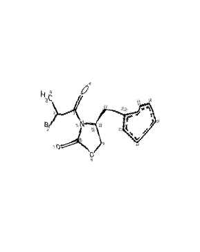 CC(Br)C(=O)N1C(=O)OC[C@@H]1Cc1ccccc1